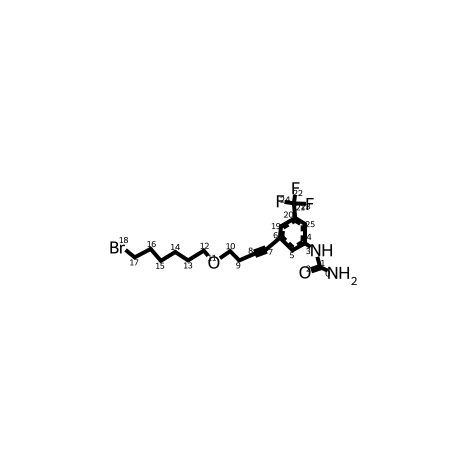 NC(=O)Nc1cc(C#CCCOCCCCCCBr)cc(C(F)(F)F)c1